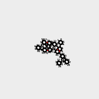 c1ccc(-c2ccccc2-c2ccccc2N(c2ccc(-c3ccc4c5ccccc5n(-c5ccccc5)c4c3)cc2)c2cccc3c2-c2ccccc2C32c3ccccc3-n3c4ccccc4c4cccc2c43)cc1